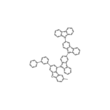 Cc1ccc2oc3cc(-c4cccc(-c5ccccc5)c4)cc(-n4c5ccccc5c5cc(-n6c7ccccc7c7cc(-n8c9ccccc9c9ccccc98)ccc76)ccc54)c3c2c1